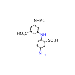 CC(=O)Nc1cc(Nc2ccc(N)cc2S(=O)(=O)O)cc(C(=O)O)c1